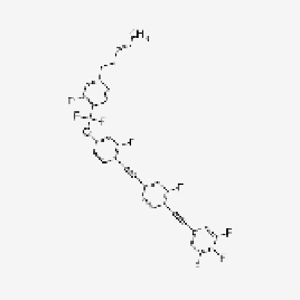 C/C=C/CCc1ccc(C(F)(F)Oc2ccc(C#Cc3ccc(C#Cc4cc(F)c(F)c(F)c4)c(F)c3)c(F)c2)c(F)c1